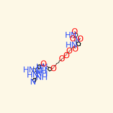 C[C@@H](NC(=O)c1cccc(NC2(C(=N)NC(=N)c3ccncc3)CCNCC2)c1)c1cccc(OCCCCCCOCCOCCOCCC(=O)Nc2cccc3c2CN(C2CCC(=O)NC2=O)C3=O)c1